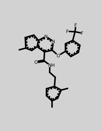 Cc1ccc(CCNC(=O)c2c(Oc3cccc(C(F)(F)F)c3)nnc3ccc(C)cc23)c(C)c1